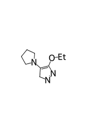 CCOC1=C(N2CCCC2)CN=N1